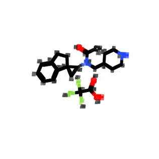 O=C(N(CC1CCNCC1)[C@@H]1C[C@@]12CCc1ccccc12)C(F)(F)F.O=C(O)C(F)(F)F